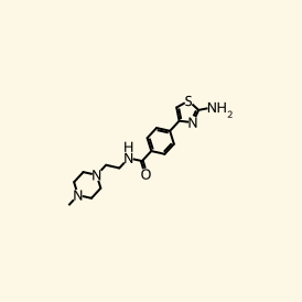 CN1CCN(CCNC(=O)c2ccc(-c3csc(N)n3)cc2)CC1